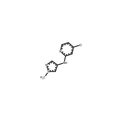 Cn1cc(Nc2cc(Cl)ccn2)cn1